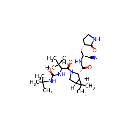 CC(C)(C)NC(=O)N[C@H](C(=O)N1C[C@H]2[C@@H]([C@H]1C(=O)N[C@H](C#N)C[C@@H]1CCNC1=O)C2(C)C)C(C)(C)C